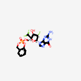 Nc1nc2c(ncn2[C@@H]2O[C@@](COP3(=O)OCc4ccccc4O3)(C(F)F)[C@@H](O)[C@H]2F)c(=O)[nH]1